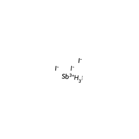 [I-].[I-].[I-].[SbH3+3]